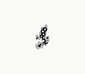 CC(=O)O[C@H]1C[C@@]2(C)[C@@H]3CC[C@H]4[C@H](C)C(=O)C=C[C@@]45C[C@@]35CC[C@]2(C)[C@H]1[C@H](C)[C@@H](OC(C)=O)C1=C(CNC(=O)C(Cl)(Cl)Cl)[C@@H](C)CO1